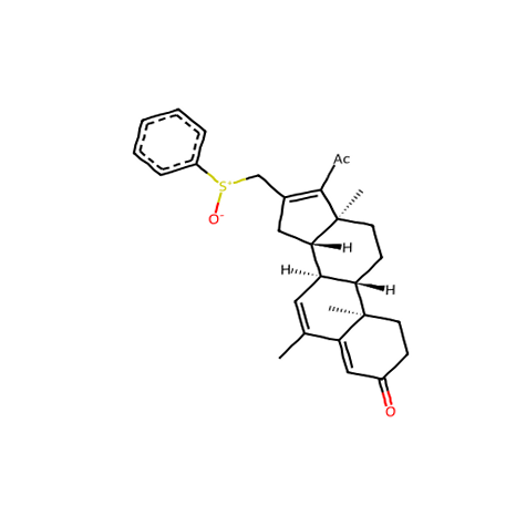 CC(=O)C1=C(C[S+]([O-])c2ccccc2)C[C@H]2[C@@H]3C=C(C)C4=CC(=O)CC[C@]4(C)[C@H]3CC[C@]12C